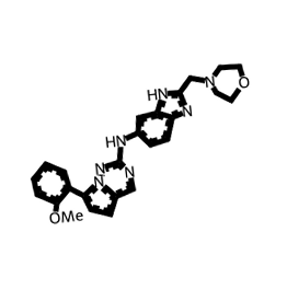 COc1ccccc1-c1ccc2cnc(Nc3ccc4nc(CN5CCOCC5)[nH]c4c3)nn12